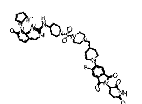 C[C@H]1CCC[C@H]1n1c(=O)ccc2cnc(NC3CCN(S(=O)(=O)N4CCN(CC5CCN(c6cc7c(cc6F)C(=O)N(C6CCC(=O)NC6=O)C7=O)CC5)CC4)CC3)nc21